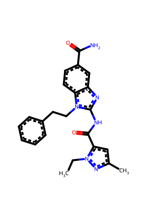 CCn1nc(C)cc1C(=O)Nc1nc2cc(C(N)=O)ccc2n1CCc1ccccc1